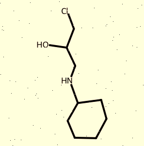 OC(CCl)CNC1CCCCC1